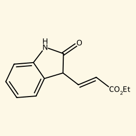 CCOC(=O)C=CC1C(=O)Nc2ccccc21